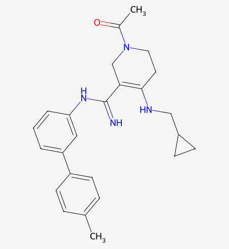 CC(=O)N1CCC(NCC2CC2)=C(C(=N)Nc2cccc(-c3ccc(C)cc3)c2)C1